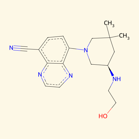 CC1(C)C[C@@H](NCCO)CN(c2ccc(C#N)c3nccnc23)C1